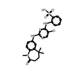 CCCS(=O)(=O)c1ccccc1Nc1nc(Nc2ccc3c(c2)C(C)(C)CCC(=O)N3C)ncc1Cl